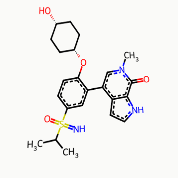 CC(C)S(=N)(=O)c1ccc(O[C@H]2CC[C@@H](O)CC2)c(-c2cn(C)c(=O)c3[nH]ccc23)c1